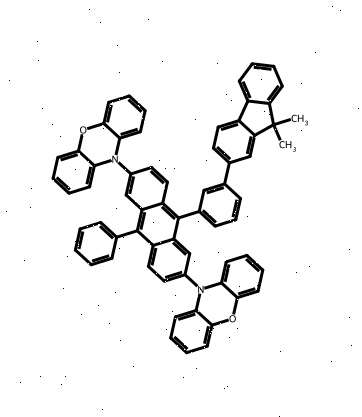 CC1(C)c2ccccc2-c2ccc(-c3cccc(-c4c5ccc(N6c7ccccc7Oc7ccccc76)cc5c(-c5ccccc5)c5ccc(N6c7ccccc7Oc7ccccc76)cc45)c3)cc21